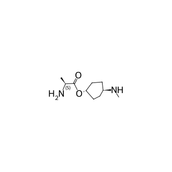 CN[C@H]1CC[C@H](OC(=O)[C@H](C)N)CC1